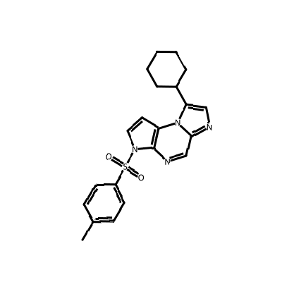 Cc1ccc(S(=O)(=O)n2ccc3c2ncc2ncc(C4CCCCC4)n23)cc1